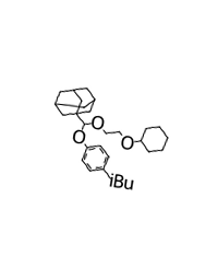 CCC(C)c1ccc(OC(OCCOC2CCCCC2)C23CC4CC(CC(C4)C2)C3)cc1